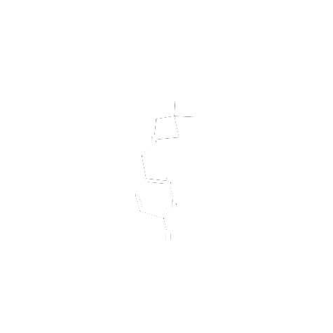 [2H]c1ccc(CN2CC(F)(F)C2)nn1